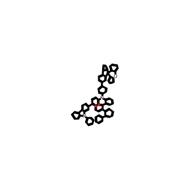 c1ccc(-c2ccccc2-c2ccccc2-c2ccccc2N(c2ccc(-c3ccc4c(c3)C3(c5ccccc5Oc5ccccc53)c3ccccc3-4)cc2)c2ccc(-c3ccc4c5ccccc5n(-c5ccccc5)c4c3)cc2)cc1